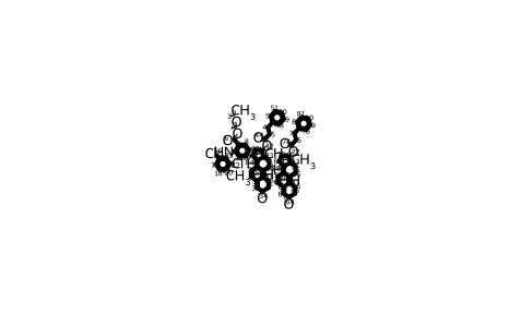 CCOCOC(=O)c1ccccc1Nc1c(Cl)ccc(C)c1Cl.C[C@]12CC[C@H]3[C@@H](CCC4=CC(=O)CC[C@@H]43)[C@@H]1CC[C@@H]2OC(=O)CCc1ccccc1.C[C@]12CC[C@H]3[C@@H](CCC4=CC(=O)CC[C@@H]43)[C@@H]1CC[C@@H]2OC(=O)CCc1ccccc1